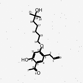 C=CCc1cc(C(C)=O)c(O)cc1OCCCCCC(C)(C)O